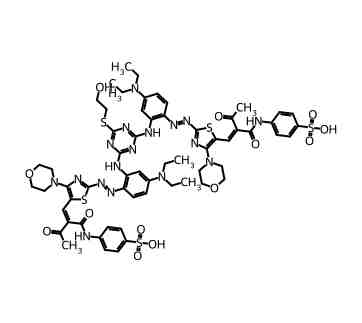 CCN(CC)c1ccc(/N=N/c2nc(N3CCOCC3)c(/C=C(/C(C)=O)C(=O)Nc3ccc(S(=O)(=O)O)cc3)s2)c(Nc2nc(Nc3cc(N(CC)CC)ccc3/N=N/c3nc(N4CCOCC4)c(/C=C(\C(C)=O)C(=O)Nc4ccc(S(=O)(=O)O)cc4)s3)nc(SCCO)n2)c1